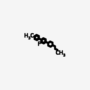 CCCCC1CCC(c2ccc(-c3ccc(C)cc3)c(F)c2)CC1